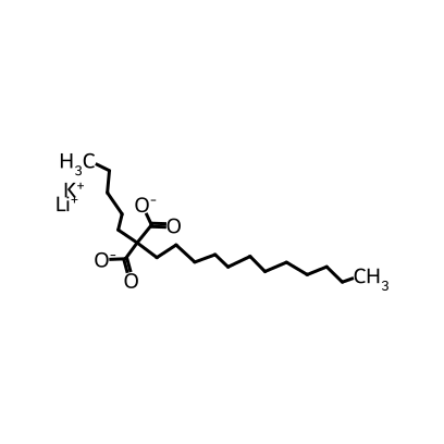 CCCCCCCCCCCCC(CCCCC)(C(=O)[O-])C(=O)[O-].[K+].[Li+]